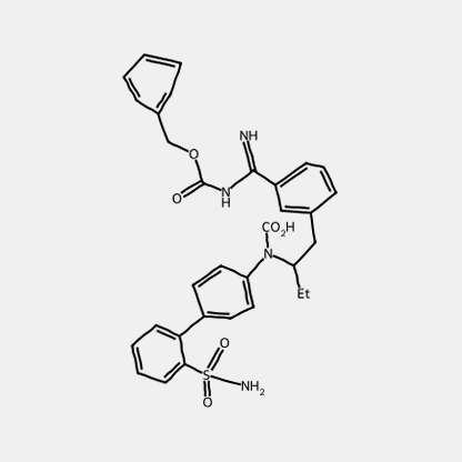 CCC(Cc1cccc(C(=N)NC(=O)OCc2ccccc2)c1)N(C(=O)O)c1ccc(-c2ccccc2S(N)(=O)=O)cc1